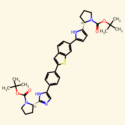 CC(C)(C)OC(=O)N1CCC[C@H]1c1ccc(-c2ccc3cc(-c4ccc(-c5cnc([C@@H]6CCCN6C(=O)OC(C)(C)C)[nH]5)cc4)sc3c2)[nH]1